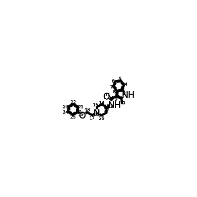 Cc1[nH]c2ccccc2c1C(=O)NC1CCN(CCOc2ccccc2)CC1